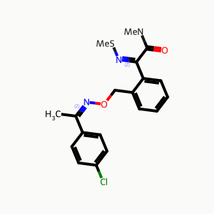 CNC(=O)/C(=N\SC)c1ccccc1CO/N=C(/C)c1ccc(Cl)cc1